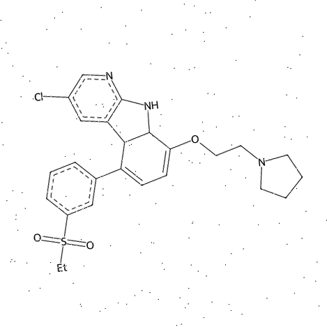 CCS(=O)(=O)c1cccc(C2=CC=C(OCCN3CCCC3)C3Nc4ncc(Cl)cc4C23)c1